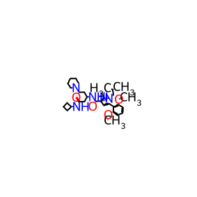 COc1cccc(OC)c1-c1cc(C(=O)NC(CCN2CCCCC2)CC(=O)NC2CCC2)nn1CC(C)C